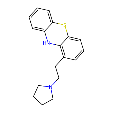 c1ccc2c(c1)Nc1c(CCN3CCCC3)cccc1S2